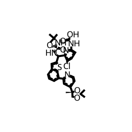 CC(C)(C)NS(=O)(=O)NC(c1cc2cccc(-c3cc([C@@]4(C)COC(C)(C)O4)ccn3)c2s1)c1nc(NC(=O)O)ccc1Cl